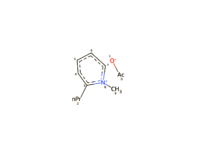 CC(=O)[O-].CCCc1cccc[n+]1C